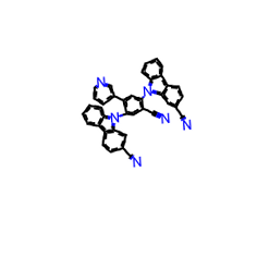 N#Cc1ccc2c3ccccc3n(-c3cc(-c4cccnc4)c(-n4c5ccccc5c5ccc(C#N)cc54)cc3C#N)c2c1